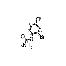 NC(=O)Oc1ccc(Cl)cc1Br